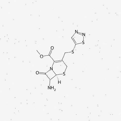 COC(=O)C1=C(CSc2cnns2)CS[C@H]2C(N)C(=O)N12